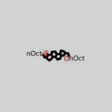 CCCCCCCCc1cc2ccc3c4ccc5c(ccc6cc(CCCCCCCC)oc65)c4ccc3c2o1